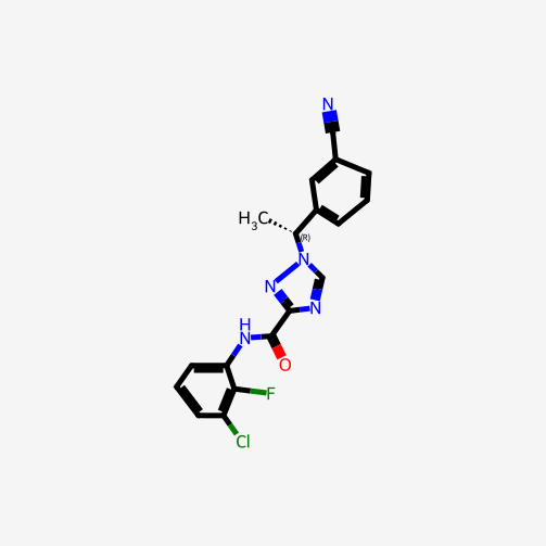 C[C@H](c1cccc(C#N)c1)n1cnc(C(=O)Nc2cccc(Cl)c2F)n1